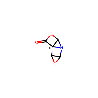 O=C1OC2N3C4OC4[C@]123